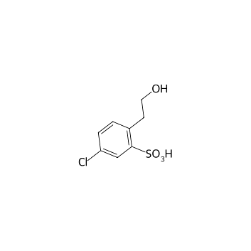 O=S(=O)(O)c1cc(Cl)ccc1CCO